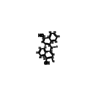 Cc1cc(C(C)c2ccc(O)c3ccccc23)c2ccccc2c1O